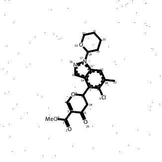 COC(=O)C1=COC(c2c(Cl)c(C)cc3c2cnn3C2CCCCO2)CC1=O